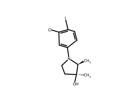 C[C@@H]1N(c2ccc(I)c(Cl)c2)CC[C@]1(C)O